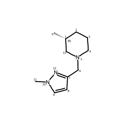 C[C@@H]1CCCN(Cc2ccn(C)n2)C1